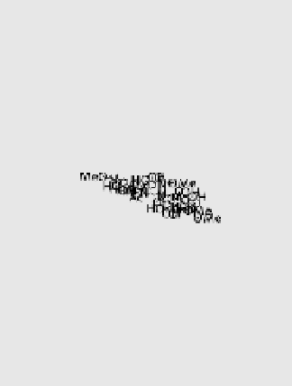 C=C(NCCOC)c1ccc(C(=O)NC(CCN(CCCCN(CCCNC(=O)c2ccc(C(=O)NCCOC)c(O)c2O)C(=O)c2ccc(C(=O)NCCOC)c(O)c2O)C(=O)c2ccc(C(=O)NCCOC)c(O)c2O)C(C)=O)c(O)c1O